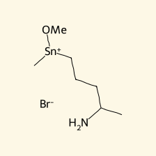 C[O][Sn+]([CH3])[CH2]CCC(C)N.[Br-]